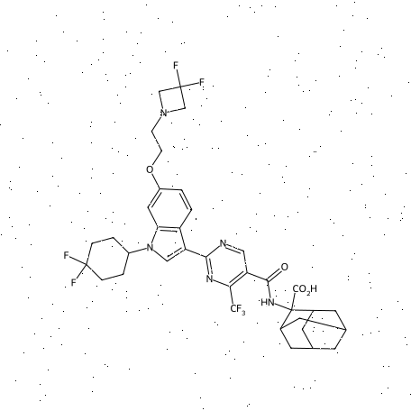 O=C(NC1(C(=O)O)C2CC3CC(C2)CC1C3)c1cnc(-c2cn(C3CCC(F)(F)CC3)c3cc(OCCN4CC(F)(F)C4)ccc23)nc1C(F)(F)F